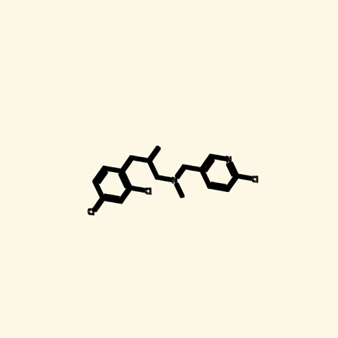 CC(Cc1ccc(Cl)cc1Cl)CN(C)Cc1ccc(Cl)nc1